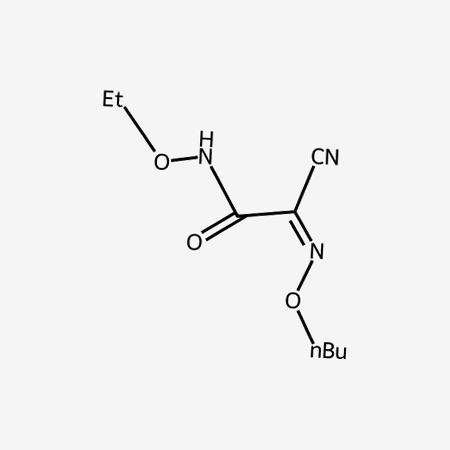 CCCCON=C(C#N)C(=O)NOCC